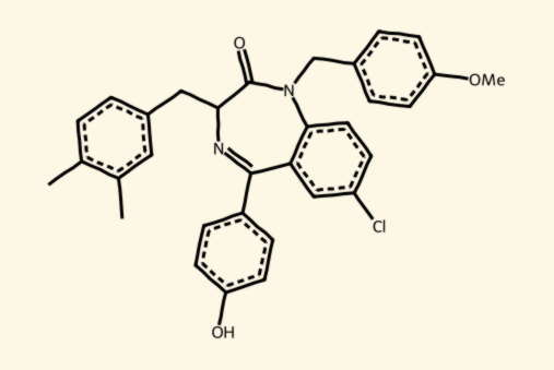 COc1ccc(CN2C(=O)C(Cc3ccc(C)c(C)c3)N=C(c3ccc(O)cc3)c3cc(Cl)ccc32)cc1